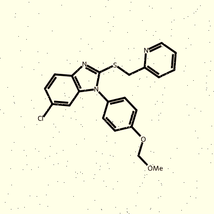 COCOc1ccc(-n2c(SCc3ccccn3)nc3ccc(Cl)cc32)cc1